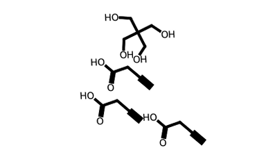 C#CCC(=O)O.C#CCC(=O)O.C#CCC(=O)O.OCC(CO)(CO)CO